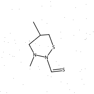 CC1CSN(C=S)N(C)C1